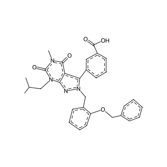 CC(C)Cn1c(=O)n(C)c(=O)c2c(-c3cccc(C(=O)O)c3)n(Cc3ccccc3OCc3ccccc3)nc21